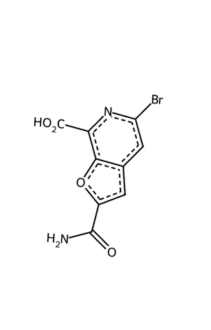 NC(=O)c1cc2cc(Br)nc(C(=O)O)c2o1